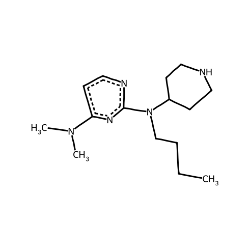 CCCCN(c1nccc(N(C)C)n1)C1CCNCC1